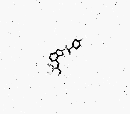 CN(C)C(C=O)=Cc1cccc2c1CC(NC(=O)c1ccc(F)cc1)C2